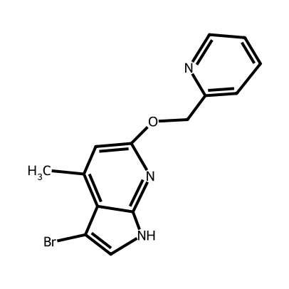 Cc1cc(OCc2ccccn2)nc2[nH]cc(Br)c12